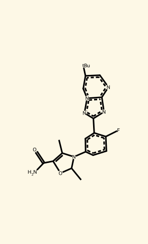 CC1=C(C(N)=O)OC(C)N1c1ccc(F)c(-c2nc3ncc(C(C)(C)C)cn3n2)c1